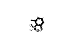 Cc1cccc(F)c1[S@@](C)(=N)=O